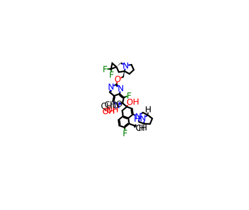 C#Cc1c(F)ccc2c1C(N1C[C@H]3CC[C@@H](C1)N3)=CC(O)(c1ncc3cnc(OC[C@]45CCCN4C[C@]4(CC4(F)F)C5)nc3c1F)C2.O=CO.O=CO